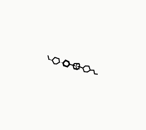 CCCC1CCC(C23CCC(c4ccc([C@H]5CC[C@H](CC)CC5)cc4)(CC2)CC3)CC1